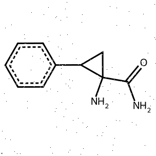 NC(=O)C1(N)CC1c1ccccc1